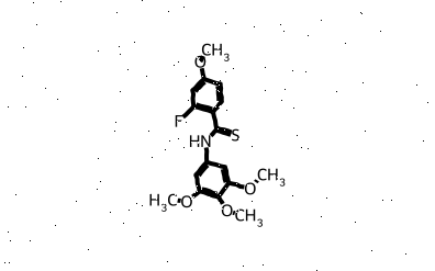 COc1ccc(C(=S)Nc2cc(OC)c(OC)c(OC)c2)c(F)c1